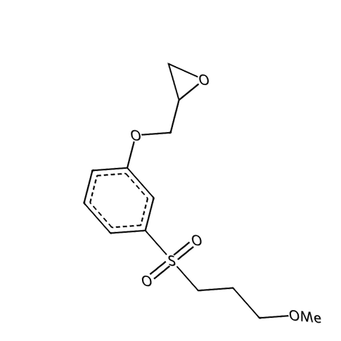 COCCCS(=O)(=O)c1cccc(OCC2CO2)c1